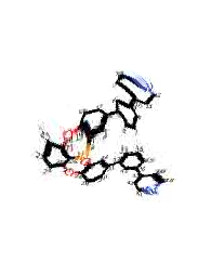 O=P12c3cc(-c4cccc(-c5ccncc5)c4)ccc3Oc3cccc(c31)Oc1ccc(-c3cccc(-c4ccncc4)c3)cc12